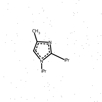 Cc1cn(C(C)C)c(C(C)C)n1